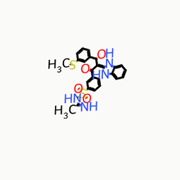 CSc1cccc(C(=O)C(C(=O)c2cccc(S(=O)(=O)NC(C)=N)c2)=C2Nc3ccccc3N2)c1